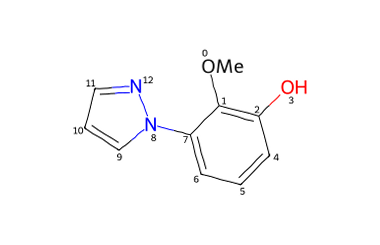 COc1c(O)cccc1-n1cccn1